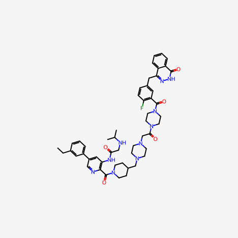 CCc1cccc(-c2cnc(C(=O)N3CCC(CN4CCN(CC(=O)N5CCN(C(=O)c6cc(Cc7n[nH]c(=O)c8ccccc78)ccc6F)CC5)CC4)CC3)c(NC(=O)CNC(C)C)c2)c1